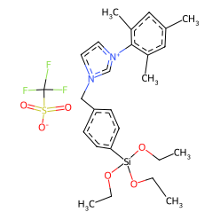 CCO[Si](OCC)(OCC)c1ccc(Cn2cc[n+](-c3c(C)cc(C)cc3C)c2)cc1.O=S(=O)([O-])C(F)(F)F